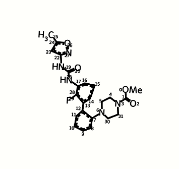 COC(=O)N1CCN(c2ccccc2-c2cccc(NC(=O)Nc3cc(C)on3)c2F)CC1